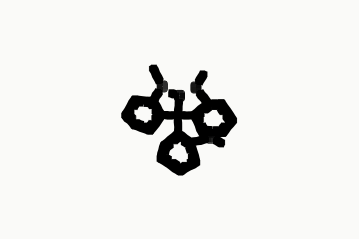 COc1ccccc1C(OC)(c1ccccc1OC)c1ccccc1OC